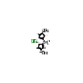 [CH2]=[Zr+2]([C]1=CC(C(C)(C)C)=CC1)[C]1=CC=C(C(C)(C)C)C1.[Cl-].[Cl-]